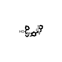 CN(Cc1cccnc1)C(=O)c1ccc(C[C@@H]2CC[C@H]([C@H](O)c3ccccc3)N2)cc1